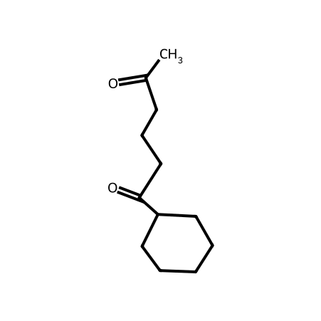 CC(=O)CCCC(=O)C1CCCCC1